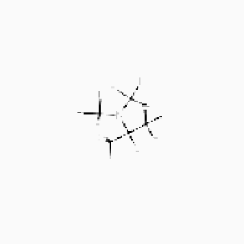 O=C(F)C(F)(N(C(F)(F)F)C(F)(F)F)C(F)(F)F